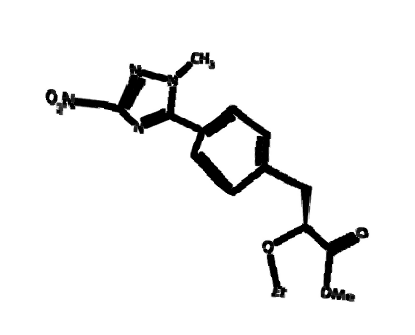 CCO[C@@H](Cc1ccc(-c2nc([N+](=O)[O-])nn2C)cc1)C(=O)OC